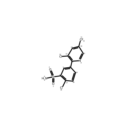 NS(=O)(=O)c1cc(-c2ncc(C(F)(F)F)cc2Cl)ccc1Cl